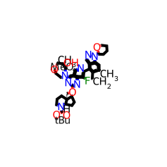 C=Cc1c(C)cc2c(cnn2C2CCCCO2)c1-c1nc(OC)c2c(N3CCOC[C@@](C)(O)C3)nc(OC[C@]34CCC[C@H]3N(C(=O)OC(C)(C)C)CCC4)nc2c1F